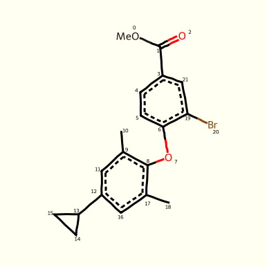 COC(=O)c1ccc(Oc2c(C)cc(C3CC3)cc2C)c(Br)c1